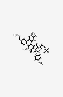 CSCc1cccc(-c2cn(C)c(=O)cc2-c2cn(C)c(=O)c3c2cc(-c2cnn(C(F)(F)F)c2)n3S(=O)(=O)c2ccc(C)cc2)c1